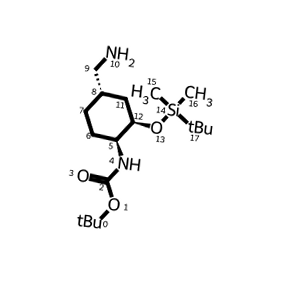 CC(C)(C)OC(=O)N[C@H]1CC[C@H](CN)C[C@H]1O[Si](C)(C)C(C)(C)C